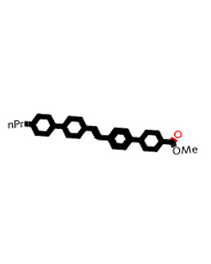 CCCC1CCC(C2CCC(/C=C/c3ccc(C4CCC(C(=O)OC)CC4)cc3)CC2)CC1